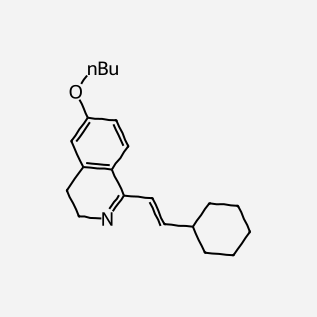 CCCCOc1ccc2c(c1)CCN=C2/C=C/C1CCCCC1